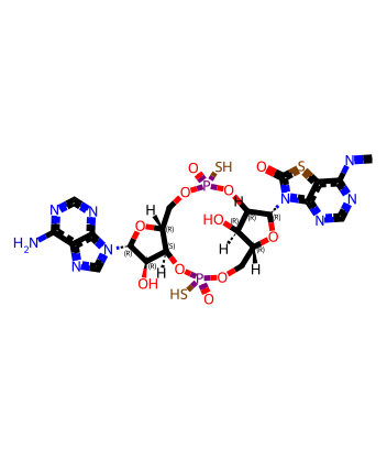 C=Nc1ncnc2c1sc(=O)n2[C@@H]1O[C@@H]2COP(=O)(S)O[C@H]3[C@@H](O)[C@H](n4cnc5c(N)ncnc54)O[C@@H]3COP(=O)(S)O[C@@H]1[C@@H]2O